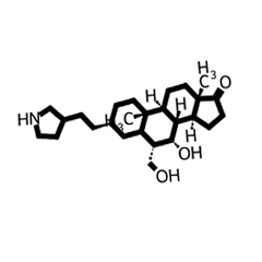 C[C@]12CC[C@H](CCC3CCNC3)CC1[C@@H](CO)[C@@H](O)[C@@H]1[C@@H]2CC[C@]2(C)C(=O)CC[C@@H]12